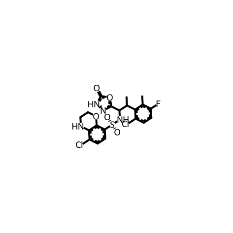 Cc1c(F)ccc(Cl)c1C(C)C(NS(=O)(=O)c1ccc(Cl)c2c1OCCN2)c1n[nH]c(=O)o1